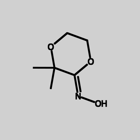 CC1(C)OCCOC1=NO